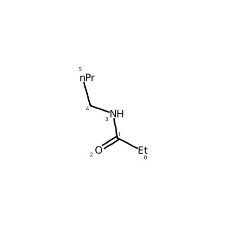 [CH2]CC(=O)NCCCC